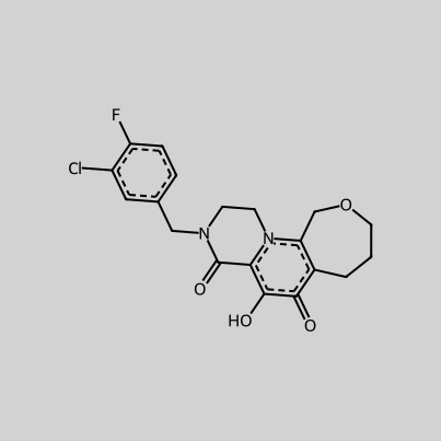 O=C1c2c(O)c(=O)c3c(n2CCN1Cc1ccc(F)c(Cl)c1)COCCC3